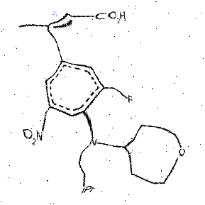 C/C(=C/C(=O)O)c1cc(F)c(N(CC(C)C)C2CCOCC2)c([N+](=O)[O-])c1